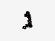 c1ccc(-c2ccc(-c3nc(-c4ccc(-c5ccc6c(c5)Cc5c-6ccc6c7ccccc7c7ccccc7c56)cc4)nc4ccccc34)cc2)cc1